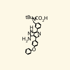 CC(C)(C)N(Cc1cccc(-c2ncc(-c3ccc(Oc4ccccc4)cc3)c3c(N)n[nH]c23)c1)C(=O)O